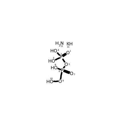 N.O=P(O)(O)OP(=O)(O)OO.[KH]